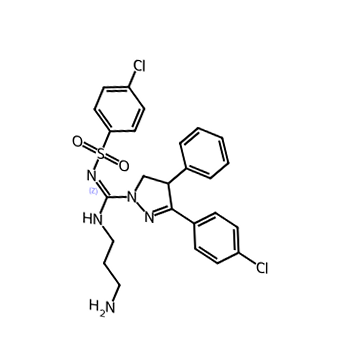 NCCCN/C(=N/S(=O)(=O)c1ccc(Cl)cc1)N1CC(c2ccccc2)C(c2ccc(Cl)cc2)=N1